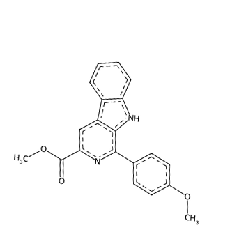 COC(=O)c1cc2c([nH]c3ccccc32)c(-c2ccc(OC)cc2)n1